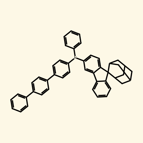 c1ccc(-c2ccc(-c3ccc(N(c4ccccc4)c4ccc5c(c4)-c4ccccc4C54C5CC6CC(C5)CC4C6)cc3)cc2)cc1